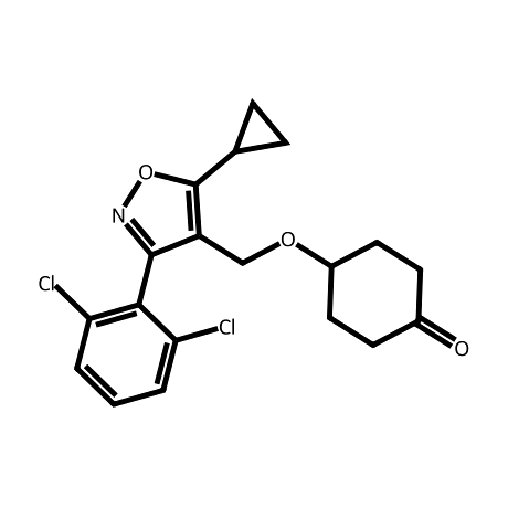 O=C1CCC(OCc2c(-c3c(Cl)cccc3Cl)noc2C2CC2)CC1